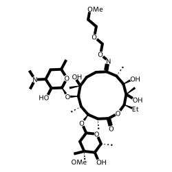 CC[C@H]1OC(=O)[C@H](C)[C@@H](OC2C[C@@](C)(OC)C(O)[C@@H](C)O2)[C@H](C)[C@@H](O[C@@H]2OC(C)CC(N(C)C)C2O)[C@](C)(O)CC/C(=N\OCOCCOC)[C@H](C)[C@@H](O)[C@]1(C)O